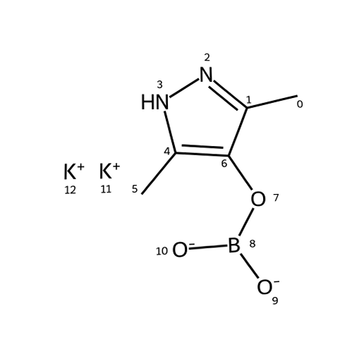 Cc1n[nH]c(C)c1OB([O-])[O-].[K+].[K+]